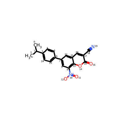 CC(C)c1ccc(-c2cc([N+](=O)[O-])c3oc(=O)c(C#N)cc3c2)cc1